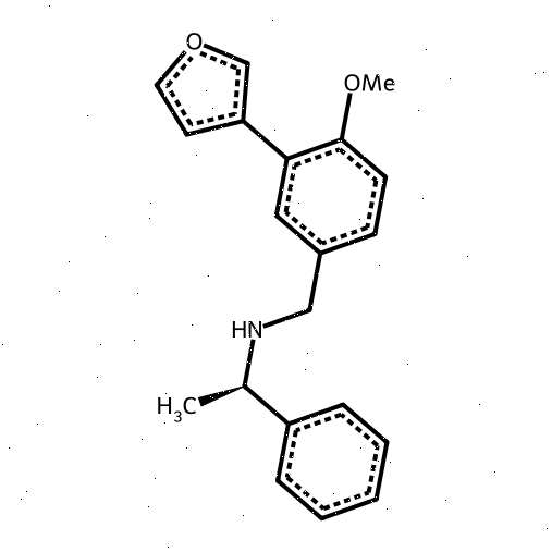 COc1ccc(CN[C@H](C)c2ccccc2)cc1-c1ccoc1